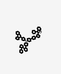 c1ccc(-c2ccccc2-c2ccccc2-c2ccc(N(c3ccc(-c4ccc(-c5cccc(-c6oc7ccccc7c6-c6ccccc6)c5)cc4)cc3)c3ccc(-c4cc5ccccc5c5ccccc45)cc3)cc2)cc1